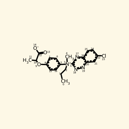 CCC[N+](C)(c1ccc(OC(C)C(=O)[O-])cc1)c1nnc2cc(Cl)ccc2n1